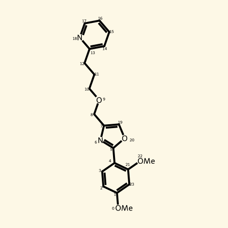 COc1ccc(-c2nc(COCCCc3ccccn3)co2)c(OC)c1